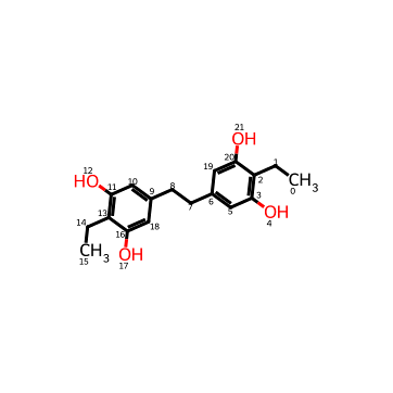 CCc1c(O)cc(CCc2cc(O)c(CC)c(O)c2)cc1O